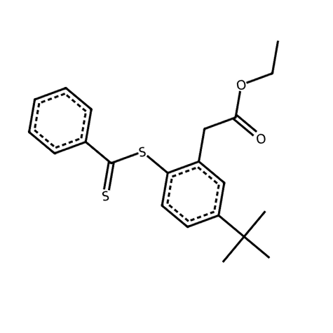 CCOC(=O)Cc1cc(C(C)(C)C)ccc1SC(=S)c1ccccc1